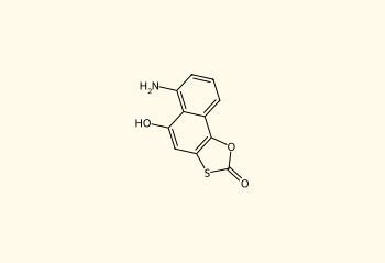 Nc1cccc2c1c(O)cc1sc(=O)oc12